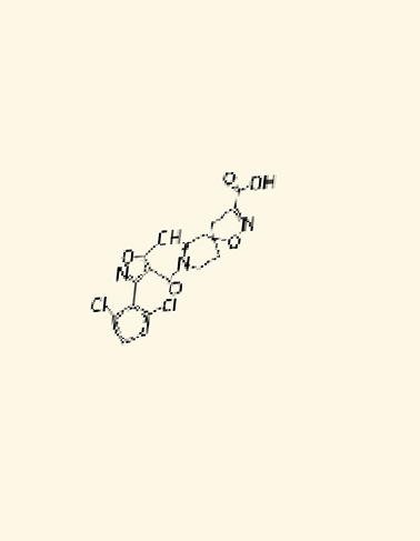 Cc1onc(-c2c(Cl)cccc2Cl)c1C(=O)N1CCC2(CC1)CC(C(=O)O)=NO2